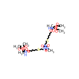 C=CC(=O)OCC(C)(COC(=O)C=C)NC(=O)OCCCCCCSCCCn1c(=O)n(CC)c(=O)n(CCCSCCCCCCOC(=O)NC(C)(COC(=O)C=C)COC(=O)C=C)c1=O